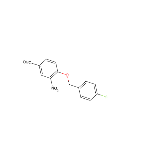 O=Cc1ccc(OCc2ccc(F)cc2)c([N+](=O)[O-])c1